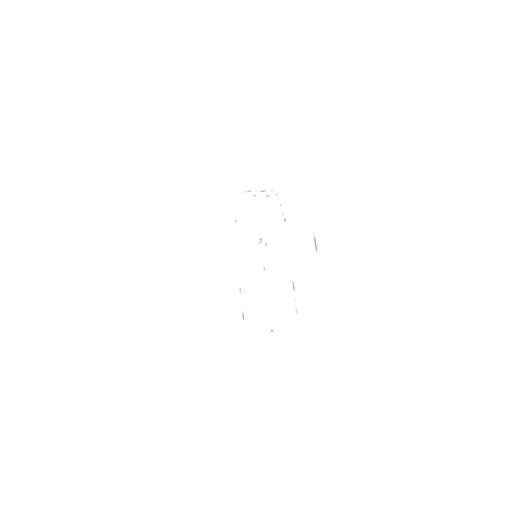 Brc1ccc2ccc3c(c2c1)CC=C3